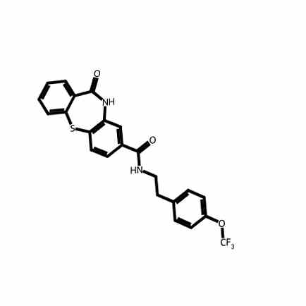 O=C(NCCc1ccc(OC(F)(F)F)cc1)c1ccc2c(c1)NC(=O)c1ccccc1S2